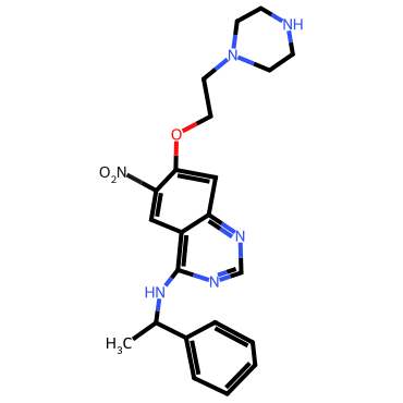 CC(Nc1ncnc2cc(OCCN3CCNCC3)c([N+](=O)[O-])cc12)c1ccccc1